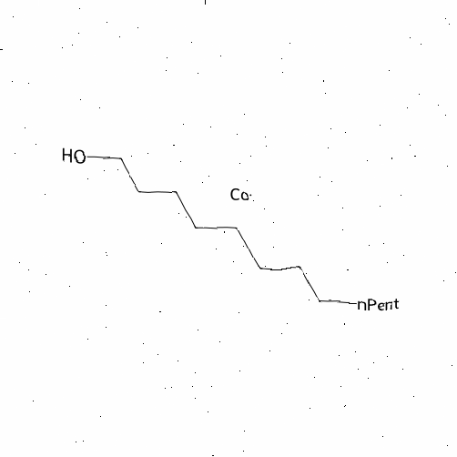 CCCCCCCCCCCCCO.[Co]